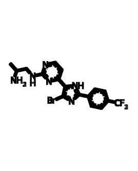 CC(N)CNc1nccc(-c2[nH]c(-c3ccc(C(F)(F)F)cc3)nc2Br)n1